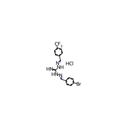 Cl.N=C(N/N=C/c1ccc(Br)cc1)N/N=C/c1ccc(C(F)(F)F)cc1